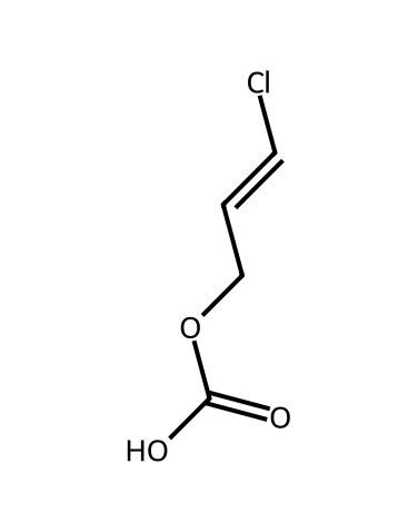 O=C(O)OCC=CCl